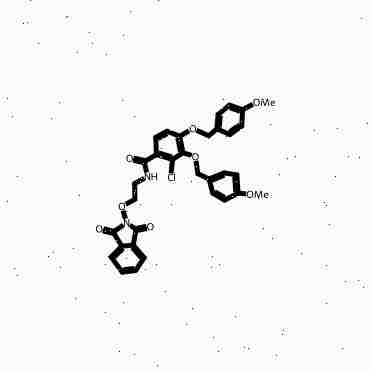 COc1ccc(COc2ccc(C(=O)NCCON3C(=O)c4ccccc4C3=O)c(Cl)c2OCc2ccc(OC)cc2)cc1